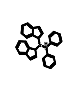 C1=C[CH]([Zr]([CH]2C=Cc3ccccc32)[SiH](c2ccccc2)c2ccccc2)c2ccccc21